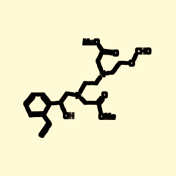 C=Cc1ccccc1C(O)CN(CCN(CCOC=O)CC(=O)OC)CC(=O)OC